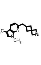 Cc1cn(C)c2nc(CC3CC4(CNC4)C3)ccc12